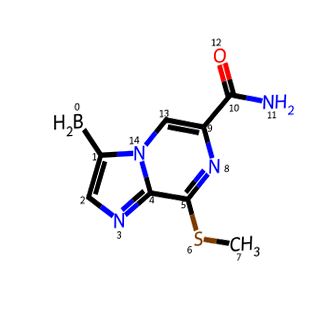 Bc1cnc2c(SC)nc(C(N)=O)cn12